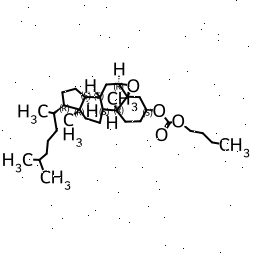 CCCCOC(=O)O[C@H]1CC[C@]2(C)[C@H]3CC[C@]4(C)[C@@H](C(C)CCCC(C)C)CC[C@H]4[C@@H]3C[C@H]3OC32C1